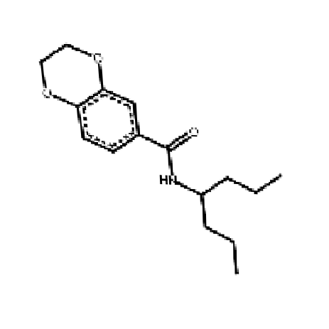 CCCC(CCC)NC(=O)c1ccc2c(c1)OCCO2